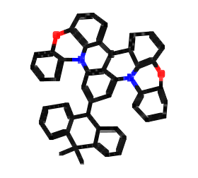 CC1(C)c2ccccc2C(c2cc3c4c(c2)N2c5ccccc5Oc5cccc(c52)B4c2cccc4c2N3c2ccccc2O4)c2ccccc21